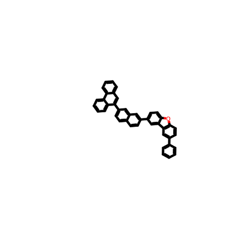 c1ccc(-c2ccc3oc4ccc(-c5ccc6ccc(-c7cc8ccccc8c8ccccc78)cc6c5)cc4c3c2)cc1